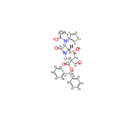 CC(=O)N(c1ccsc1)C1C(=O)N2CC(C=O)(C(=O)OC(c3ccccc3)c3ccccc3)C[S+]([O-])[C@H]12